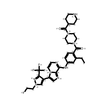 CCc1cc(Nc2nccn3c(-c4cn(CCF)nc4C(F)(F)F)cnc23)ccc1C(=O)N1CCN(C(=O)C2CCNCC2)CC1